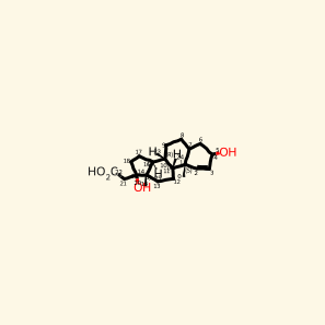 C[C@]12C=CC(O)CC1CC[C@@H]1[C@H]2CC[C@@]2(C)[C@H]1CCC2(O)CC(=O)O